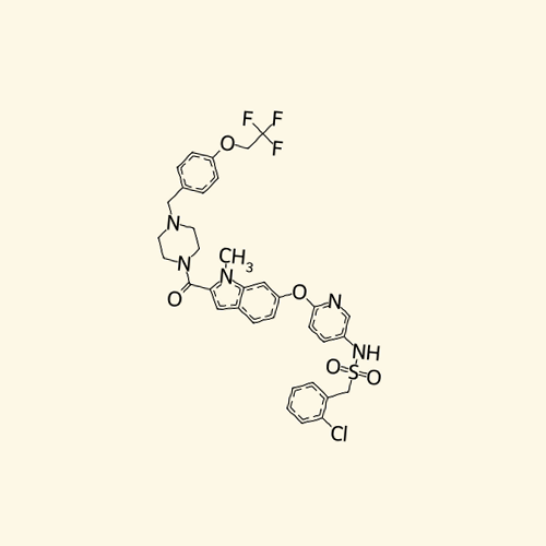 Cn1c(C(=O)N2CCN(Cc3ccc(OCC(F)(F)F)cc3)CC2)cc2ccc(Oc3ccc(NS(=O)(=O)Cc4ccccc4Cl)cn3)cc21